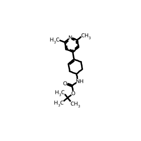 Cc1cc(C2=CCC(NC(=O)OC(C)(C)C)CC2)cc(C)n1